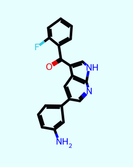 Nc1cccc(-c2cnc3[nH]cc(C(=O)c4ccccc4F)c3c2)c1